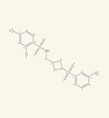 O=S(=O)(NCC1CC(S(=O)(=O)c2cccc(C(F)(F)F)c2)C1)c1ccc(C(F)(F)F)cc1Cl